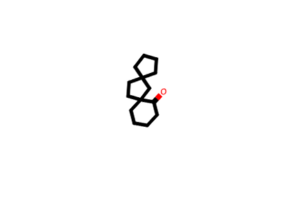 O=C1CCCCC12CCC1(CCCC1)C2